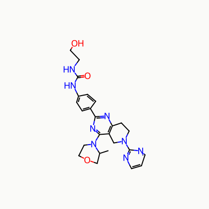 CC1COCCN1c1nc(-c2ccc(NC(=O)NCCO)cc2)nc2c1CN(c1ncccn1)CC2